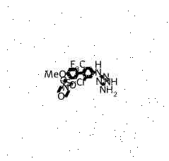 COc1ccc(-c2c(Cl)cc(Nc3n[nH]c(N)n3)cc2C(F)(F)F)cc1S(=O)(=O)N1CCOCC1